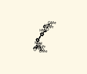 COC(=O)N[C@H](C(=O)N1CCC[C@H]1c1ncc(-c2ccc(C#Cc3ccc4nc([C@@H]5C[C@]6(CCOC6)CN5C(=O)[C@@H](NC(=O)OC)C(C)C)[nH]c4c3)cc2)[nH]1)C(C)C